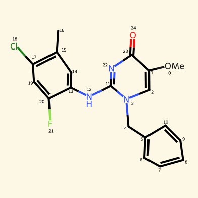 COc1cn(Cc2ccccc2)c(Nc2cc(C)c(Cl)cc2F)nc1=O